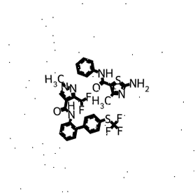 Cc1nc(N)sc1C(=O)Nc1ccccc1.Cn1cc(C(=O)Nc2ccccc2-c2ccc(SC(F)(F)F)cc2)c(C(F)F)n1